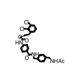 CC(=O)NCc1ccc(CNC(=O)c2ccc(NS(=O)(=O)CCc3cccc(Cl)c3Cl)cc2)cc1